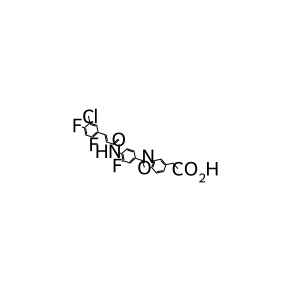 O=C(O)Cc1ccc2oc(-c3ccc(NC(=O)C=Cc4cc(Cl)c(F)cc4F)c(F)c3)nc2c1